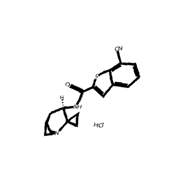 Cl.N#Cc1cccc2cc(C(=O)N[C@@H]3C4CCN(CC4)C34CC4)sc12